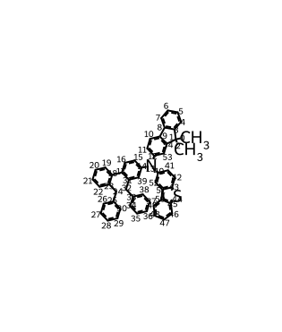 CC1(C)c2ccccc2-c2ccc(N(c3ccc(-c4ccccc4Cc4ccccc4)c(Cc4ccccc4)c3)c3ccc4sc5ccccc5c4c3)cc21